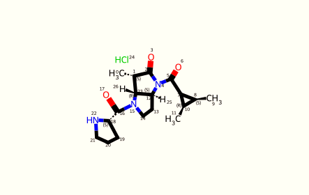 C[C@@H]1C(=O)N(C(=O)C2[C@@H](C)[C@H]2C)[C@H]2CCN(C(=O)[C@@H]3CCCN3)[C@H]12.Cl